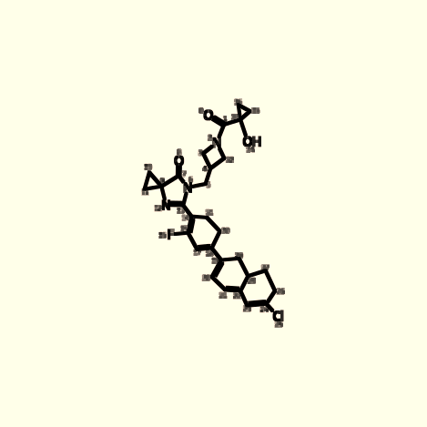 O=C(N1CC(CN2C(=O)C3(CC3)N=C2C2=C(F)C=C(C3=CC=C4C=C(Cl)CCC4C3)CC2)C1)C1(O)CC1